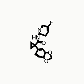 O=C(NC1CC=C(F)C=N1)C1(C2=CC3OCOC3C=C2)CC1